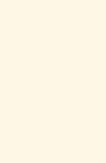 Clc1cccc2c1Cc1ccccc1S2